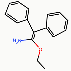 CCOC(N)=C(c1ccccc1)c1ccccc1